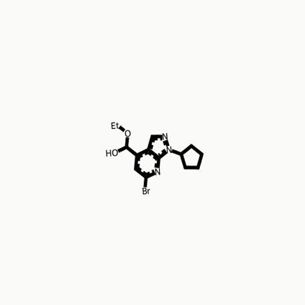 CCOC(O)c1cc(Br)nc2c1cnn2C1CCCC1